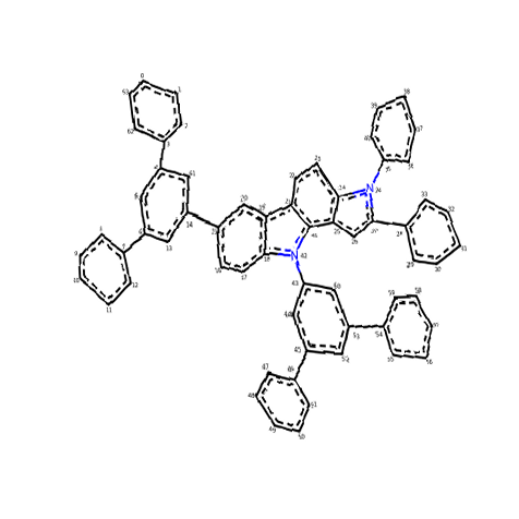 c1ccc(-c2cc(-c3ccccc3)cc(-c3ccc4c(c3)c3ccc5c(cc(-c6ccccc6)n5-c5ccccc5)c3n4-c3cc(-c4ccccc4)cc(-c4ccccc4)c3)c2)cc1